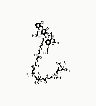 CC(=O)OC[C@H](COP(=O)(O)OCCNC(=O)COC(C)(C)CCOC(C)(C)CCNC(=O)COCC(=O)NCCOCCOCCOc1c(C)cn(Cc2c(Cl)cccc2OCCO)c(=O)c1NC(=O)N[C@@H](CC(=O)O)c1cccc(OCCO)c1)OC(C)=O